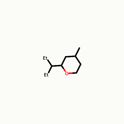 CCC(CC)C1C[C](C)CCO1